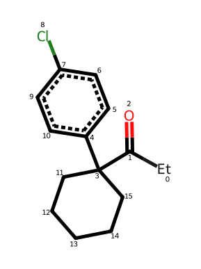 CCC(=O)C1(c2ccc(Cl)cc2)CCCCC1